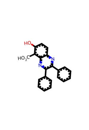 O=C(O)c1c(O)ccc2nc(-c3ccccc3)c(-c3ccccc3)nc12